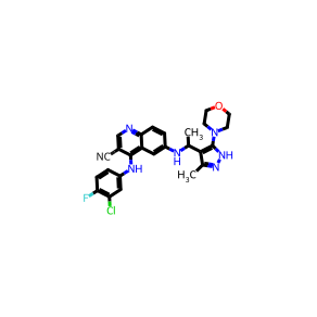 Cc1n[nH]c(N2CCOCC2)c1C(C)Nc1ccc2ncc(C#N)c(Nc3ccc(F)c(Cl)c3)c2c1